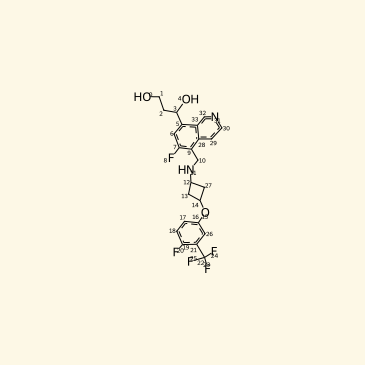 OCCC(O)c1cc(F)c(CNC2CC(Oc3ccc(F)c(C(F)(F)F)c3)C2)c2ccncc12